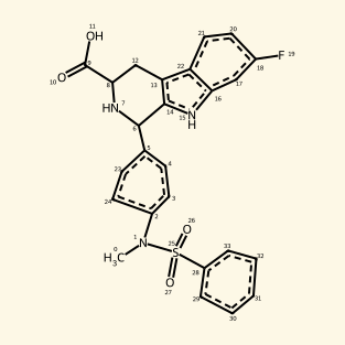 CN(c1ccc(C2NC(C(=O)O)Cc3c2[nH]c2cc(F)ccc32)cc1)S(=O)(=O)c1ccccc1